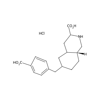 Cl.O=C(O)c1ccc(CC2CC[C@H]3CNC(C(=O)O)CC3C2)cc1